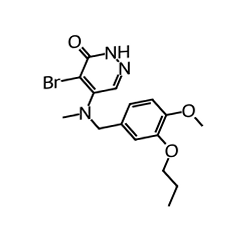 CCCOc1cc(CN(C)c2cn[nH]c(=O)c2Br)ccc1OC